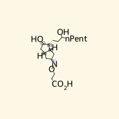 CCCCCC(O)CC[C@@H]1[C@@H]2C/C(=N/OCCC(=O)O)C[C@@H]2C[C@@H]1O